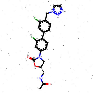 CC(=O)NC[C@H]1CN(c2ccc(-c3ccc(Cn4ccnn4)c(F)c3)c(F)c2)C(=O)O1